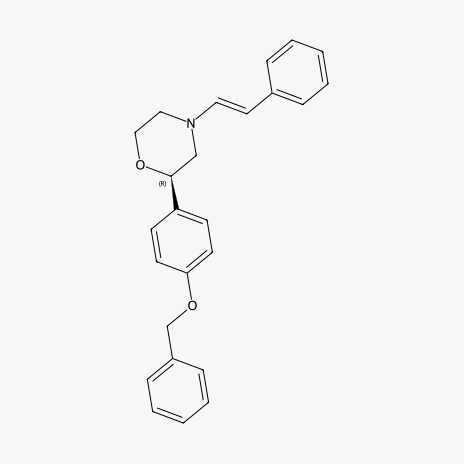 C(=CN1CCO[C@H](c2ccc(OCc3ccccc3)cc2)C1)c1ccccc1